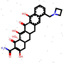 NC(=O)C1=C(O)CC2CC3Cc4cc5c(CN6CCC6)cccc5c(O)c4C(=O)C3=C(O)[C@]2(O)C1=O